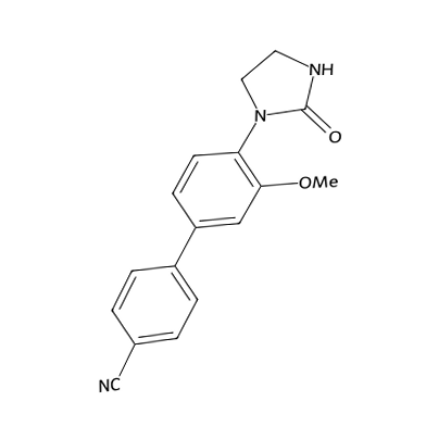 COc1cc(-c2ccc(C#N)cc2)ccc1N1CCNC1=O